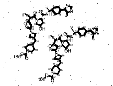 Cc1ncsc1-c1ccc([C@H](C)NC(=O)[C@@H]2C[C@@H](O)CN2C(=O)C(c2cc(N3CC(CC4CCN(C(=O)OC(C)(C)C)CC4)C3)no2)C(C)C)cc1.Cc1ncsc1-c1ccc([C@H](C)NC(=O)[C@@H]2C[C@@H](O)CN2C(=O)[C@@H](c2cc(N3CC(CC4CCN(C(=O)OC(C)(C)C)CC4)C3)no2)C(C)C)cc1